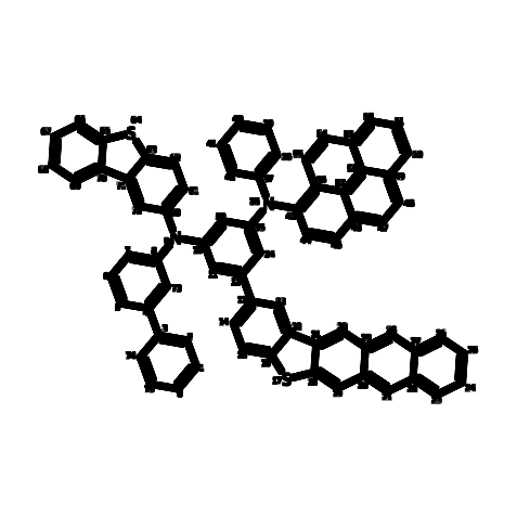 c1ccc(-c2cccc(N(c3cc(-c4ccc5sc6cc7cc8ccccc8cc7cc6c5c4)cc(N(c4ccccc4)c4ccc5ccc6cccc7ccc4c5c67)c3)c3ccc4sc5ccccc5c4c3)c2)cc1